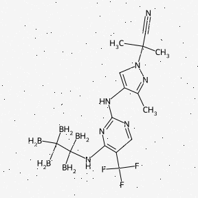 BC(B)(B)C(B)(B)Nc1nc(Nc2cn(C(C)(C)C#N)nc2C)ncc1C(F)(F)F